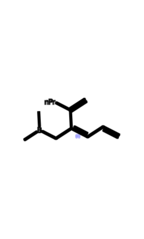 C=C/C=C(/CB(C)C)C(=C)CCC